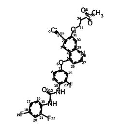 [C-]#[N+]c1cc2c(Oc3ccc(NC(=O)Nc4ccc(F)cc4F)c(F)c3)ccnc2cc1OCCS(C)(=O)=O